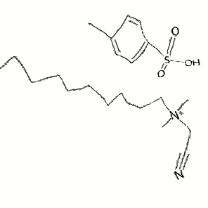 CCCCCCCCCC[N+](C)(C)CC#N.Cc1ccc(S(=O)(=O)O)cc1